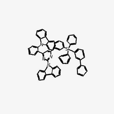 c1ccc(-c2cccc([Si](c3ccccc3)(c3ccccc3)c3cccc(-c4cc(-c5ccccc5-n5c6ccccc6c6ccccc65)nc(-n5c6ccccc6c6ccccc65)n4)c3)c2)cc1